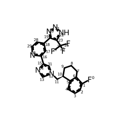 Fc1cccc2c1CCC[C@@H]2Cn1cnc(-c2cc(-c3nn[nH]c3C(F)(F)F)ccn2)c1